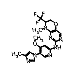 COc1cc(Nc2ncc3c(n2)N(C)C(C(F)(F)F)CO3)ncc1-n1cnc(C)c1